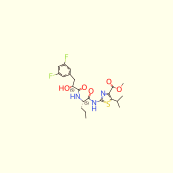 CCC[C@H](NC(=O)[C@@H](O)Cc1cc(F)cc(F)c1)C(=O)Nc1nc(C(=O)OC)c(C(C)C)s1